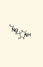 C/C=N/OCC1CCNCC1